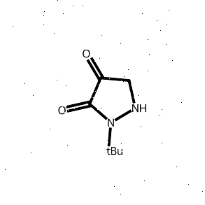 CC(C)(C)N1NCC(=O)C1=O